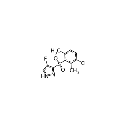 Cc1ccc(Cl)c(C)c1S(=O)(=O)c1n[nH]cc1F